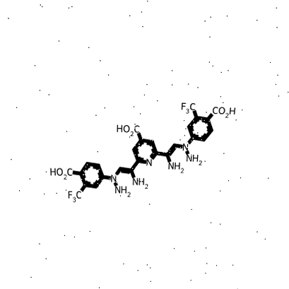 N/C(=C\N(N)c1ccc(C(=O)O)c(C(F)(F)F)c1)c1cc(C(=O)O)cc(/C(N)=C/N(N)c2ccc(C(=O)O)c(C(F)(F)F)c2)n1